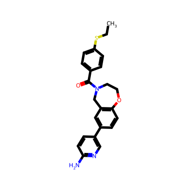 CCSc1ccc(C(=O)N2CCOc3ccc(-c4ccc(N)nc4)cc3C2)cc1